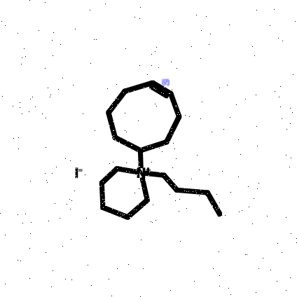 CCCC[N+]1(C2CC/C=C\CCC2)CCCCC1.[I-]